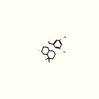 COc1cc(OC)cc(C(=O)[C@H]2[C@H](C)[C@H](N)C[C@@]3(C)C(C)(C)CCC[C@]23C)c1